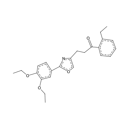 CCOc1ccc(-c2nc(CCC(=O)c3ccccc3CC)co2)cc1OCC